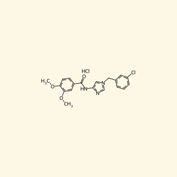 COc1ccc(C(=O)Nc2cn(Cc3cccc(Cl)c3)cn2)cc1OC.Cl